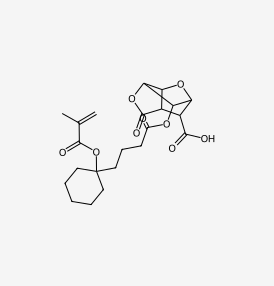 C=C(C)C(=O)OC1(CCCC(=O)OC2C3OC(=O)C4C3OC2C4C(=O)O)CCCCC1